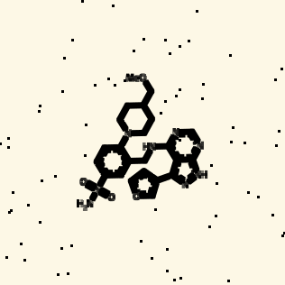 COCC1CCN(c2ccc(S(N)(=O)=O)cc2CNc2ncnc3[nH]nc(-c4ccoc4)c23)CC1